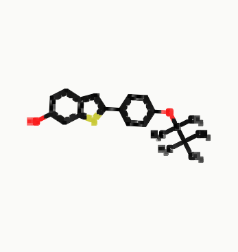 CC(C)(C)[Si](C)(C)Oc1ccc(-c2[c]c3ccc(O)cc3s2)cc1